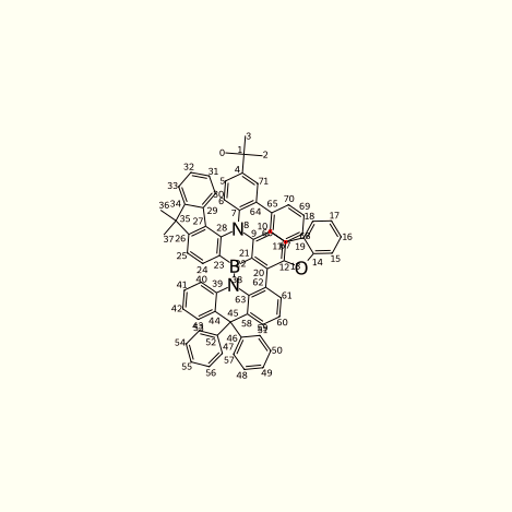 CC(C)(C)c1ccc(N2c3cc4c(oc5ccccc54)c4c3B(c3ccc5c(c32)-c2ccccc2C5(C)C)N2c3ccccc3C(c3ccccc3)(c3ccccc3)c3cccc-4c32)c(-c2ccccc2)c1